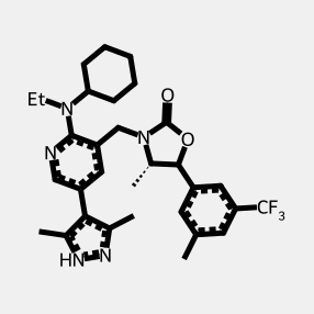 CCN(c1ncc(-c2c(C)n[nH]c2C)cc1CN1C(=O)OC(c2cc(C)cc(C(F)(F)F)c2)[C@@H]1C)C1CCCCC1